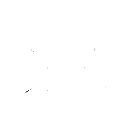 C[C@@H](C(=O)Nc1ccc(F)cn1)N1CCC(F)(F)C(c2cc(N)c(=O)n(C(F)C(F)F)c2)C1